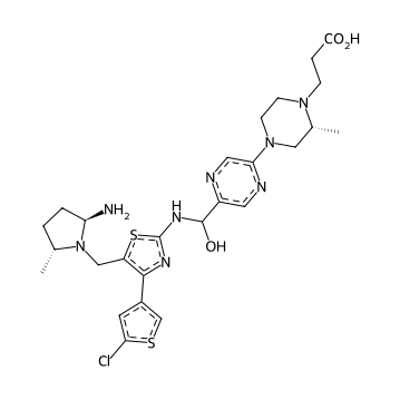 C[C@@H]1CN(c2cnc(C(O)Nc3nc(-c4csc(Cl)c4)c(CN4[C@H](C)CC[C@H]4N)s3)cn2)CCN1CCC(=O)O